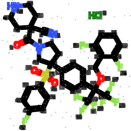 Cl.N#CC1(C(=O)N2CCC(c3ccc(C(OCc4c(F)cccc4F)(C(F)(F)F)C(F)(F)F)cc3)(S(=O)(=O)c3ccc(F)cc3)C2)CCNCC1